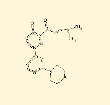 CN(C)C=CC(=O)c1nn(-c2ccnc(N3CCOCC3)c2)ccc1=O